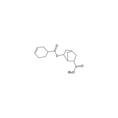 CC(C)COC(=O)C1CC2CC(OC(=O)C3CC=CCC3)C1C2